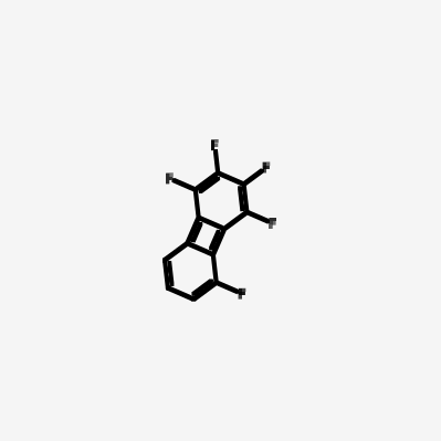 Fc1c(F)c(F)c2c(c1F)=c1cccc(F)c1=2